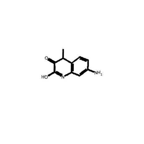 CC1C(=O)C(O)=Nc2cc(N)ccc21